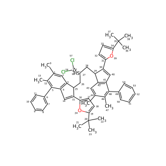 Cc1cc2c(c(-c3ccccc3)c1C)C=C(c1ccc(C(C)(C)C)o1)C2C[SiH](CC1C(c2ccc(C(C)(C)C)o2)=Cc2c1cc(C)c(C)c2-c1ccccc1)[Zr]([Cl])[Cl]